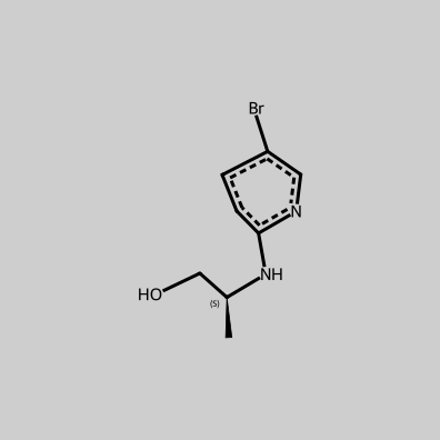 C[C@@H](CO)Nc1ccc(Br)cn1